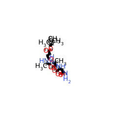 CC(NC(=O)CCC(=O)OCC[Si](C)(C)C)C(=O)NC(C)C(=O)NC(CC(N)=O)C(=O)O